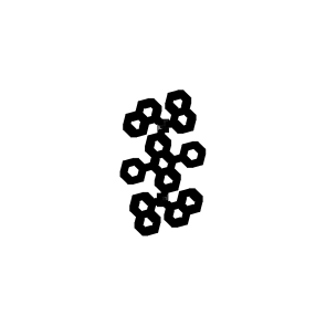 c1ccc2c(N(c3ccc4c(C5CCCCC5)c5cc(N(c6cccc7ccccc67)c6cccc7ccccc67)ccc5c(C5CCCCC5)c4c3)c3cccc4ccccc34)cccc2c1